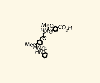 COc1cc(CC(=O)CCNC(C)Oc2ccc(C(=O)O)cc2OC)ccc1NC(=O)Nc1ccccc1F